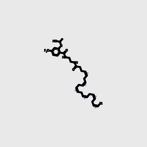 CC/C=C\C/C=C\C/C=C\C/C=C\C/C=C\C/C=C\CCC(=O)NCCNC(=O)c1ccc(C(F)(F)F)cc1OC(C)O